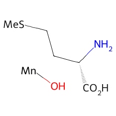 CSCC[C@H](N)C(=O)O.[OH][Mn]